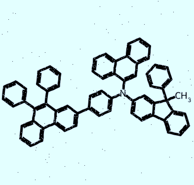 CC1(c2ccccc2)c2ccccc2-c2ccc(N(c3ccc(-c4ccc5c(c4)c(-c4ccccc4)c(-c4ccccc4)c4ccccc45)cc3)c3cc4ccccc4c4ccccc34)cc21